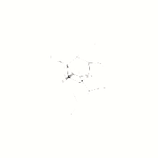 COC[C@]1(CO)C(=O)[C@@H]2CCN1[C@H](C)C2